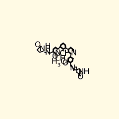 COc1cc(-c2nccc(-c3cccc(-c4ccc(CNC[C@H]5CCC(=O)N5)c(OC)n4)c3Cl)c2Cl)ccc1CN1CC2(CNC(=O)C2)C1